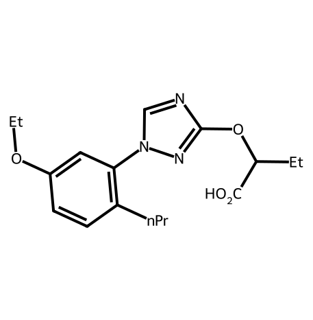 CCCc1ccc(OCC)cc1-n1cnc(OC(CC)C(=O)O)n1